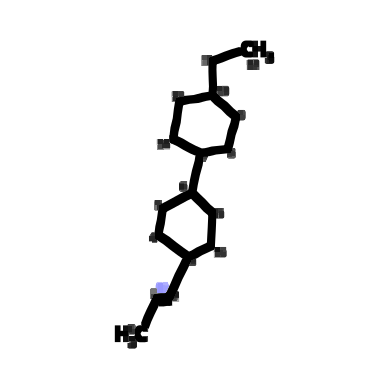 C/C=C/C1CCC(C2CCC(CC)CC2)CC1